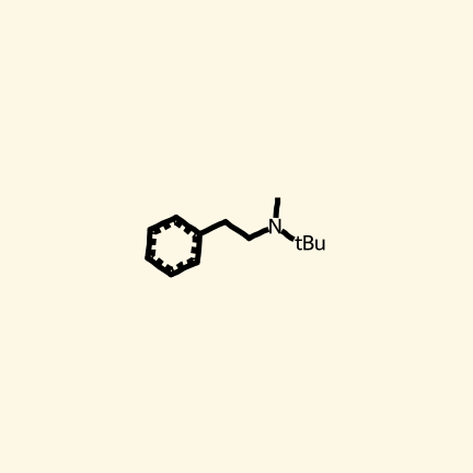 CN(CCc1ccccc1)C(C)(C)C